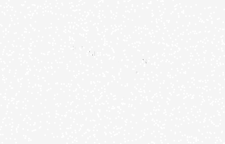 N[C@@H]1CCO[C@H](CNO)C1